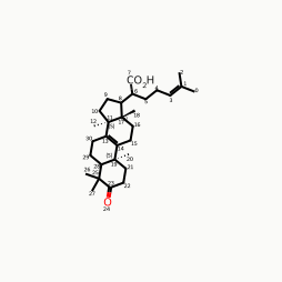 CC(C)=CCCC(C(=O)O)C1CC[C@]2(C)C3=C(CC[C@@]12C)[C@@]1(C)CCC(=O)C(C)(C)C1CC3